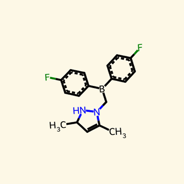 CC1=CC(C)NN1CB(c1ccc(F)cc1)c1ccc(F)cc1